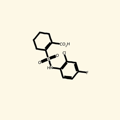 O=C(O)C1=C(S(=O)(=O)Nc2ccc(F)cc2Cl)CCCC1